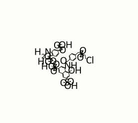 Nc1cc(S(=O)(=O)O)ccc1S(=O)(=O)O.O=C(Nc1cc(S(=O)(=O)O)cc2cc(S(=O)(=O)O)cc(O)c12)c1ccc(CS(=O)(=O)CCCl)cc1